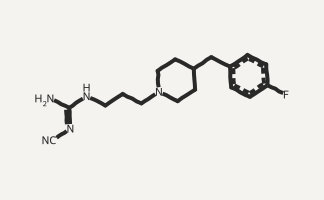 N#CN=C(N)NCCCN1CCC(Cc2ccc(F)cc2)CC1